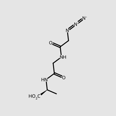 C[C@H](NC(=O)CNC(=O)CN=[N+]=[N-])C(=O)O